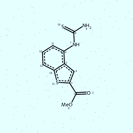 COC(=O)c1cc2c(NC(N)=S)cccc2s1